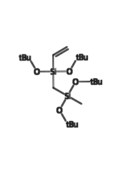 C=C[Si](C[Si](C)(OC(C)(C)C)OC(C)(C)C)(OC(C)(C)C)OC(C)(C)C